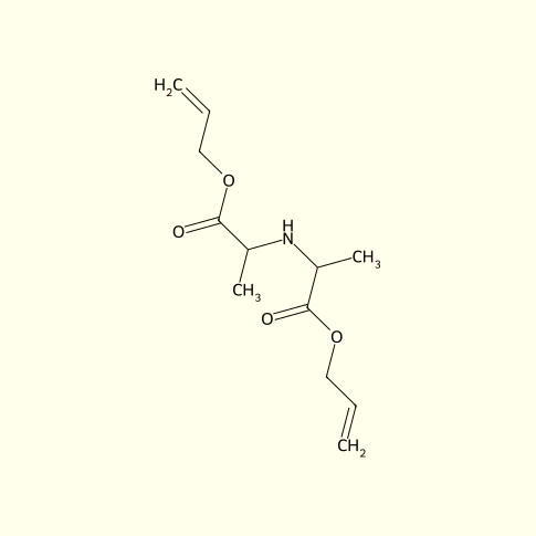 C=CCOC(=O)C(C)NC(C)C(=O)OCC=C